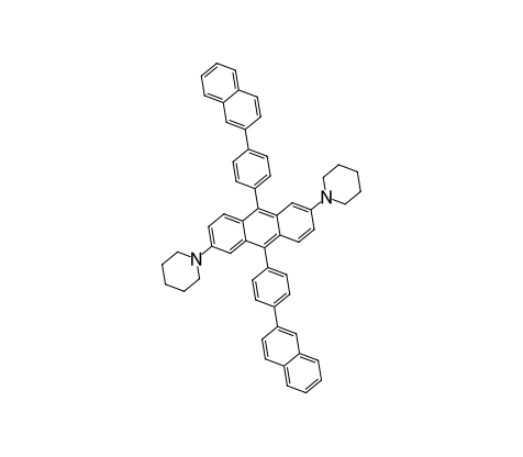 c1ccc2cc(-c3ccc(-c4c5ccc(N6CCCCC6)cc5c(-c5ccc(-c6ccc7ccccc7c6)cc5)c5ccc(N6CCCCC6)cc45)cc3)ccc2c1